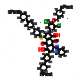 CCCCCC1CCC(COc2c(Cl)cc(-c3cc(Sc4ccc(-c5ccc(C6CCC(CCCCC)CC6)cc5)cc4)c4c(c3O)C(=O)c3c(Nc5ccccc5)cc(-c5ccc(C6CCC(CCCCC)CC6)cc5)c(O)c3C4=O)cc2Cl)CC1